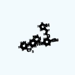 CC(C)(C)c1ccc(Nc2ncnc3cc(-c4ncccc4C(F)(F)F)ccc23)cc1OCCC1CCCN1